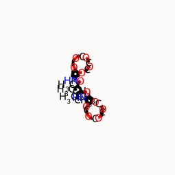 CC(C)(C)CC(CC(C(=O)Nc1ccc2c(c1)OCCOCCOCCOCCO2)C(C)(C)C)C(=O)Nc1ccc2c(c1)OCCOCCOCCOCCO2